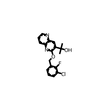 CC(C)(O)c1cc2ncccc2nc1OCc1cccc(Cl)c1F